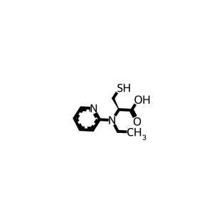 CCN(c1ccccn1)[C@@H](CS)C(=O)O